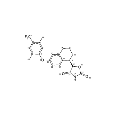 Cc1cc(C(F)(F)F)c(C)cc1Oc1ccc2c(c1)CCC[C@H]2C1OC(=O)NC1=O